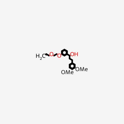 C=CCOCCOc1cccc([C@H](O)CCc2ccc(OC)c(OC)c2)c1